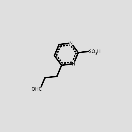 O=CCCc1ccnc(S(=O)(=O)O)n1